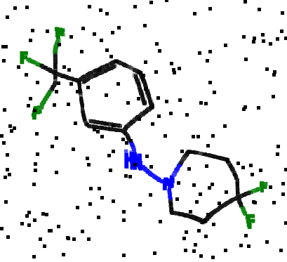 FC1(F)CCN(Nc2cccc(C(F)(F)F)c2)CC1